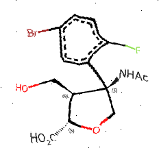 CC(=O)N[C@@]1(c2cc(Br)ccc2F)CO[C@H](C(=O)O)[C@H]1CO